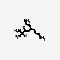 NCCCC(C=C(Cl)C(N)(N)Cl)CCN